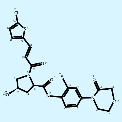 O=C(Nc1ccc(N2CCOCC2=O)cc1F)[C@H]1C[C@@H](O)CN1C(=O)C=Cc1ccc(Cl)s1